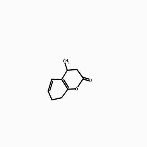 CC1CC(=O)OC2=C1C=CCC2